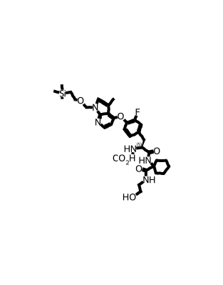 Cc1cn(COCC[Si](C)(C)C)c2nccc(Oc3ccc(C[C@H](NC(=O)O)C(=O)NC4(C(=O)NCCO)CCCCC4)cc3F)c12